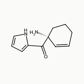 N[C@@]1(C(=O)c2ccc[nH]2)C=CCCC1